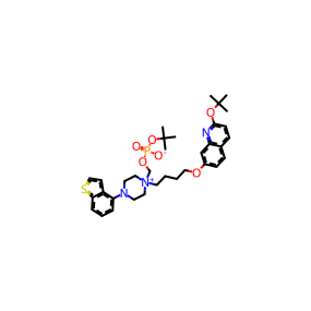 CC(C)(C)Oc1ccc2ccc(OCCCC[N+]3(COP(=O)([O-])OC(C)(C)C)CCN(c4cccc5sccc45)CC3)cc2n1